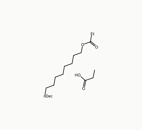 CCC(=O)O.CCCCCCCCCCCCCCCCCCOC(=O)CC